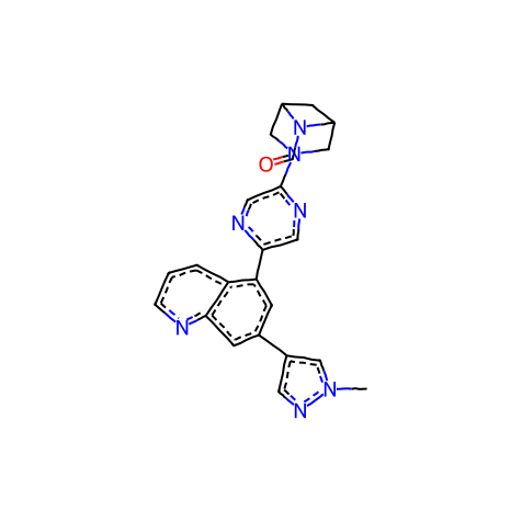 Cn1cc(-c2cc(-c3cnc(N4CC5CC(C4)N5C=O)cn3)c3cccnc3c2)cn1